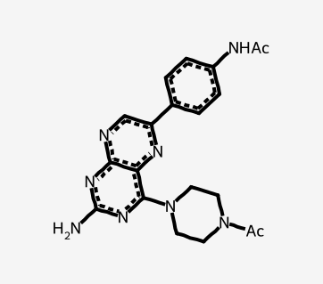 CC(=O)Nc1ccc(-c2cnc3nc(N)nc(N4CCN(C(C)=O)CC4)c3n2)cc1